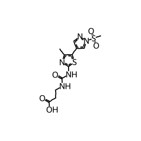 Cc1nc(NC(=O)NCCC(=O)O)sc1-c1cnn(S(C)(=O)=O)c1